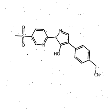 CS(=O)(=O)c1ccc(-n2ncc(-c3ccc(CC#N)cc3)c2O)nc1